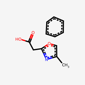 Cc1coc(CC(=O)O)n1.c1ccccc1